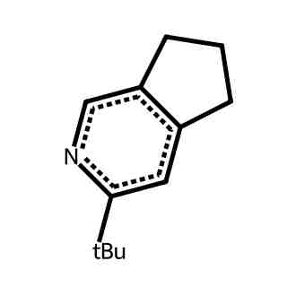 CC(C)(C)c1cc2c(cn1)CCC2